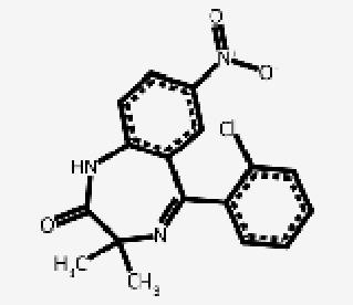 CC1(C)N=C(c2ccccc2Cl)c2cc([N+](=O)[O-])ccc2NC1=O